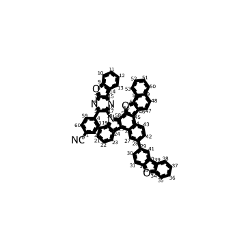 N#Cc1ccc(-c2nc3oc4ccccc4c3nc2-n2c3ccccc3c3c4cc(-c5ccc6oc7ccccc7c6c5)ccc4c4c5ccc6ccccc6c5oc4c32)cc1